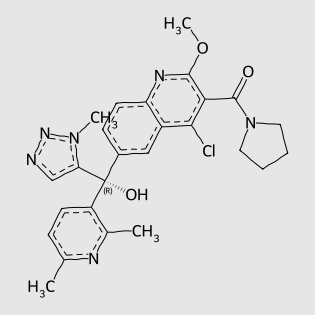 COc1nc2ccc([C@@](O)(c3ccc(C)nc3C)c3cnnn3C)cc2c(Cl)c1C(=O)N1CCCC1